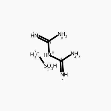 CS(=O)(=O)O.N=C(N)NC(=N)N